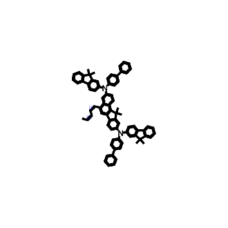 C/C=C\C=C/c1cc2c(c3ccc(N(c4ccc(-c5ccccc5)cc4)c4ccc5c(c4)C(C)(C)c4ccccc4-5)cc13)C(C)(C)c1cc(N(c3ccc(-c4ccccc4)cc3)c3ccc4c(c3)C(C)(C)c3ccccc3-4)ccc1-2